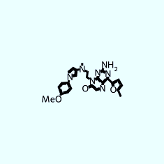 COc1ccc(-n2ccc(N(C)CCn3c(=O)cnc4c(-c5ccc(C)o5)nc(N)nc43)c2)cc1